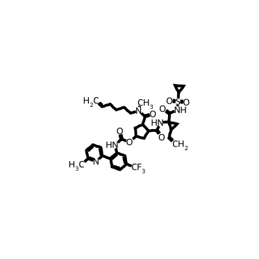 C=CCCCCN(C)C(=O)C1CC(OC(=O)Nc2cc(C(F)(F)F)ccc2-c2cccc(C)n2)CC1C(=O)NC1(C(=O)NS(=O)(=O)C2CC2)CC1C=C